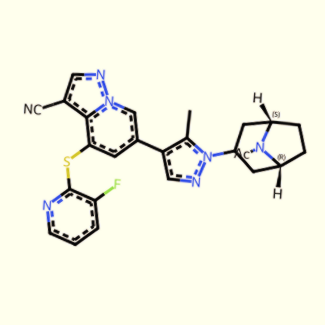 CC(=O)N1[C@@H]2CC[C@H]1CC(n1ncc(-c3cc(Sc4ncccc4F)c4c(C#N)cnn4c3)c1C)C2